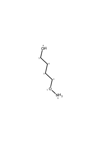 NOCCCCO